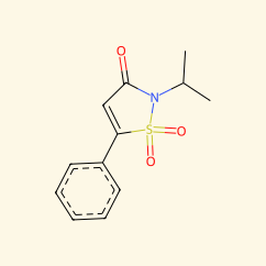 CC(C)N1C(=O)C=C(c2ccccc2)S1(=O)=O